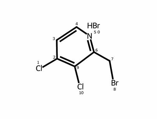 Br.Clc1ccnc(CBr)c1Cl